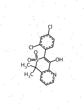 CC1(C)c2cccnc2C(O)=C(c2ccc(Cl)[c]c2Cl)S1(=O)=O